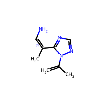 C=C(C)n1ncnc1/C(C)=C\N